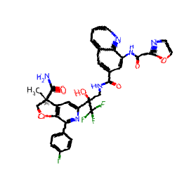 C[C@]1(C(N)=O)COc2c1cc(C(O)(CNC(=O)c1cc(NC(=O)c3ncco3)c3ncccc3c1)C(F)(F)F)nc2-c1ccc(F)cc1